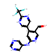 O=Cc1cnc(Nc2cncnc2)cc1-c1cnc(C(F)(F)F)nc1